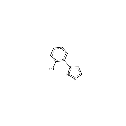 Oc1ccccc1-n1c[c]nn1